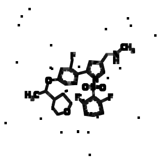 CNCc1cc(-c2ccc(OC(C)C3CCOCC3)cc2F)n(S(=O)(=O)c2c(F)cccc2F)c1